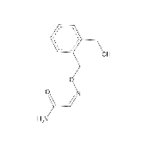 NC(=O)/C=N\OCc1ccccc1CO